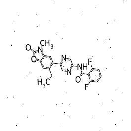 CCc1cc2oc(=O)n(C)c2cc1-c1cnc(NC(=O)c2c(F)cccc2F)cn1